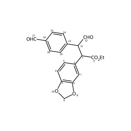 CCOC(=O)C(c1ccc2c(c1)OCO2)C(C=O)c1ccc(C=O)cc1